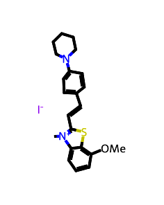 COc1cccc2c1sc(C=Cc1ccc(N3CCCCC3)cc1)[n+]2C.[I-]